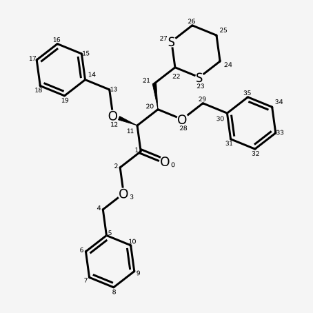 O=C(COCc1ccccc1)[C@@H](OCc1ccccc1)[C@@H](CC1SCCCS1)OCc1ccccc1